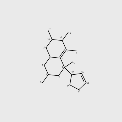 CC1=C2C(CC(C)CC2(C)C2C=CCC2)CC(C)C1C